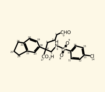 O=CCCCC(CNS(=O)(=O)c1ccc(Cl)cc1)(C(=O)O)c1ccc2c(c1)CCC2